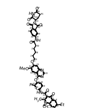 CCc1ccc2c(c1)c(=O)c(C(=O)Nc1ccc(Oc3ncnc4cc(OCCCCCC(=O)Nc5ccc6c(c5)C(=O)N(C5CCC(=O)NC5=O)C6=O)c(OC)cc34)c(F)c1)c(C)n2C